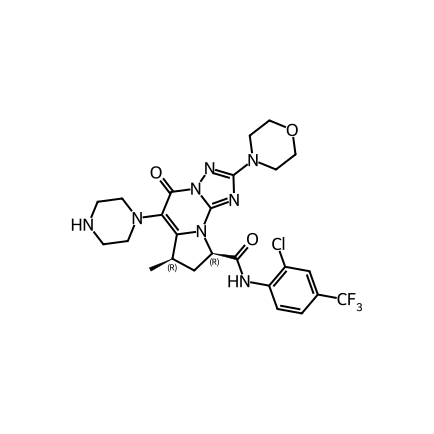 C[C@@H]1C[C@H](C(=O)Nc2ccc(C(F)(F)F)cc2Cl)n2c1c(N1CCNCC1)c(=O)n1nc(N3CCOCC3)nc21